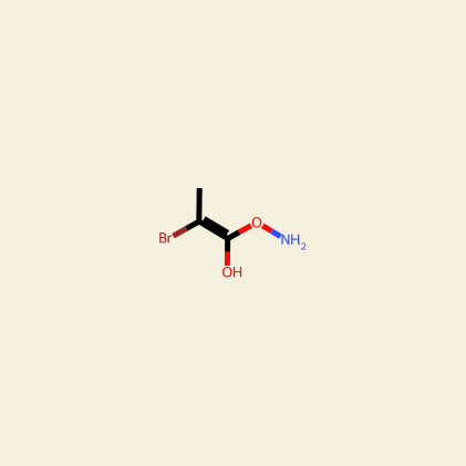 C/C(Br)=C(/O)ON